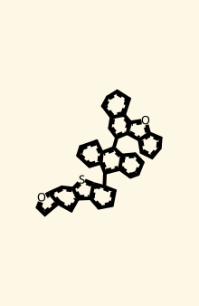 c1ccc2c(c1)cc(-c1c3ccccc3c(-c3cccc4c3sc3cc5occc5cc34)c3ccccc13)c1c3ccccc3oc21